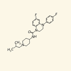 CC(C)CN1CCC(NC(=O)N2CCN(c3ccc(F)cc3)c3cc(F)ccc32)CC1